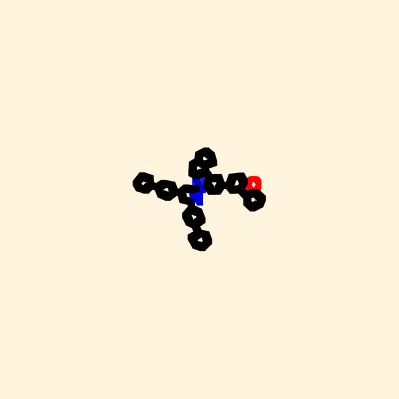 C1=CC(c2ccc(-c3cc(-c4ccc(-c5ccccc5)cc4)nc(-n4c5ccc(-c6ccc7oc8ccccc8c7c6)cc5c5c6ccccc6ccc54)c3)cc2)=CCC1